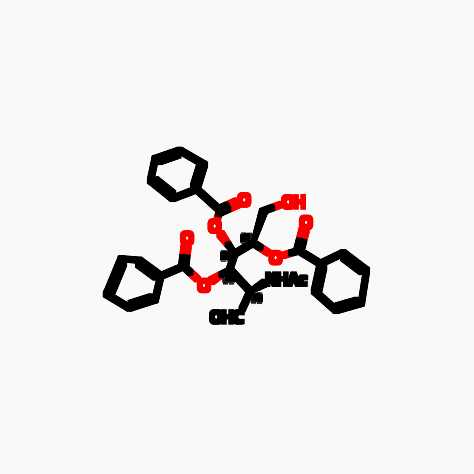 CC(=O)N[C@@H](C=O)[C@@H](OC(=O)c1ccccc1)[C@@H](OC(=O)c1ccccc1)[C@@H](CO)OC(=O)c1ccccc1